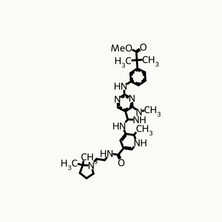 COC(=O)C(C)(C)c1cccc(Nc2ncc3c(n2)N(C)NC3NC2=CC(C(=O)NCCN3CCCC3(C)C)=CNC2C)c1